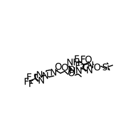 CC(COCC(CC(=O)N1CCN(c2ncc(C(F)(F)F)cn2)CC1)OC(N)=O)Nc1cnn(COCC[Si](C)(C)C)c(=O)c1C(F)(F)F